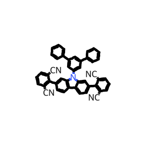 N#Cc1cccc(C#N)c1-c1ccc2c3ccc(-c4c(C#N)cccc4C#N)cc3n(-c3cc(-c4ccccc4)cc(-c4ccccc4)c3)c2c1